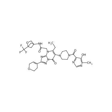 CCc1c(N2CCN(C(=O)c3ncnc(C)c3O)CC2)c(=O)n2nc(C3=CCOCC3)nc2n1CC(=O)NC12COC(C(F)(F)F)(C1)C2